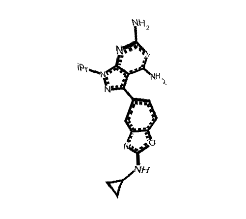 CC(C)n1nc(-c2ccc3oc(NC4CC4)nc3c2)c2c(N)nc(N)nc21